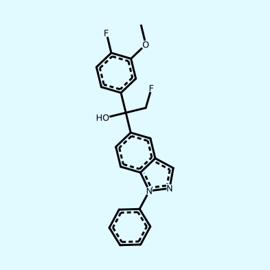 COc1cc(C(O)(CF)c2ccc3c(cnn3-c3ccccc3)c2)ccc1F